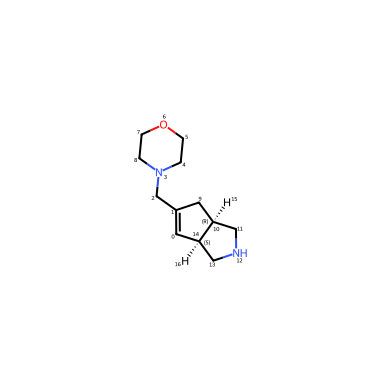 C1=C(CN2CCOCC2)C[C@H]2CNC[C@@H]12